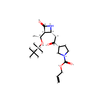 C=CCOC(=O)N1CC[C@@H](C(=O)C[C@H]2NC(=O)[C@@H]2[C@@H](C)O[Si](C)(C)C(C)(C)C)C1